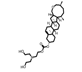 C[C@H]1CC[C@@H](C)[C@H]2[C@@H](COC1)C[C@H]1[C@@H]3CC=C4C[C@@H](OC(=O)OCCN(CCO)CCO)CC[C@]4(C)[C@H]3CC[C@]21C